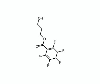 O=C(OCCCO)C1=C(F)C(F)C(F)C(F)=C1F